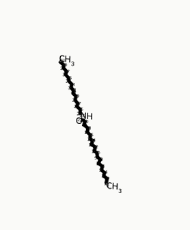 CCCCCCCCCCCCCCCCCCCCCC(=O)NCCCCCCCCCCCCCCCCCC